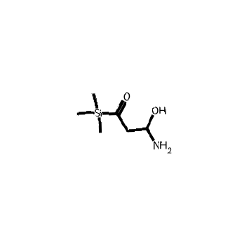 C[Si](C)(C)C(=O)CC(N)O